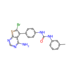 Cc1cccc(NC(=O)Nc2ccc(-c3c(Br)sc4ncnc(N)c34)cc2)c1